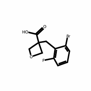 O=C(O)C1(Cc2c(F)cccc2Br)COC1